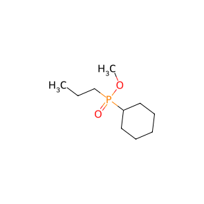 CCCP(=O)(OC)C1CCCCC1